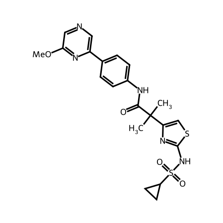 COc1cncc(-c2ccc(NC(=O)C(C)(C)c3csc(NS(=O)(=O)C4CC4)n3)cc2)n1